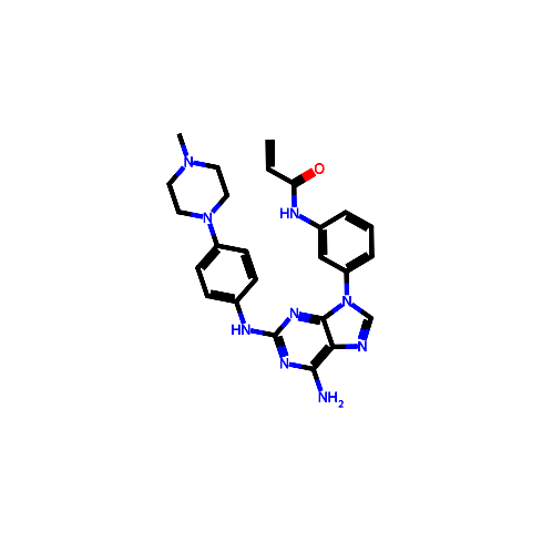 C=CC(=O)Nc1cccc(-n2cnc3c(N)nc(Nc4ccc(N5CCN(C)CC5)cc4)nc32)c1